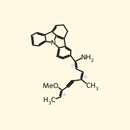 C/C=C(/C#C/C(C)=C\C=C(/N)C1=C=C=c2c(c3c4c(c5ccccc5n24)=CCC3)=C1)OC